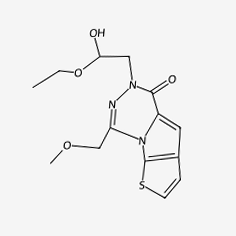 CCOC(O)Cn1nc(COC)n2c(cc3ccsc32)c1=O